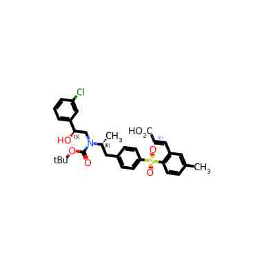 Cc1ccc(S(=O)(=O)c2ccc(C[C@@H](C)N(C[C@@H](O)c3cccc(Cl)c3)C(=O)OC(C)(C)C)cc2)c(/C=C/C(=O)O)c1